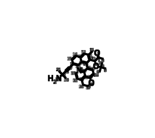 CC(=O)[C@@H](OC(C)(C)C)c1c(C)cc2ccc(C#CC(C)(C)N)cc2c1-c1ccc2c3c(ccnc13)CCO2